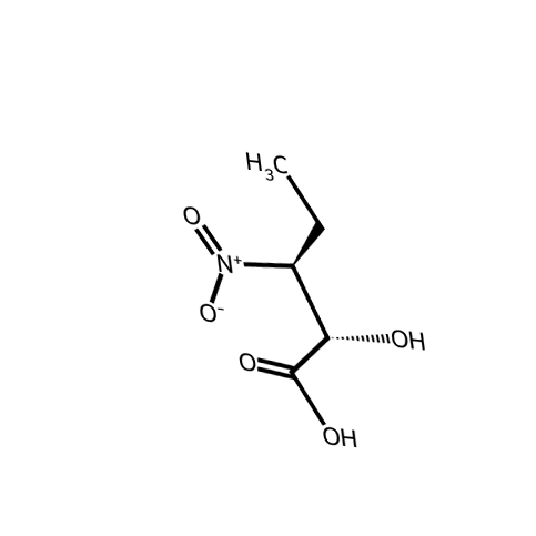 CC[C@@H]([C@H](O)C(=O)O)[N+](=O)[O-]